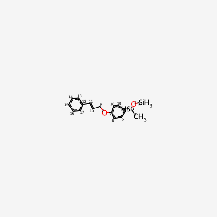 C[SiH](O[SiH3])c1ccc(OCC=Cc2ccccc2)cc1